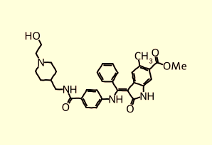 COC(=O)c1cc2c(cc1C)/C(=C(/Nc1ccc(C(=O)NCC3CCN(CCO)CC3)cc1)c1ccccc1)C(=O)N2